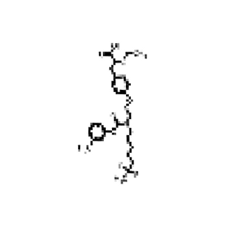 CCOC(Cc1ccc(OCCN(CCCCCC(C)(F)F)C(=O)Oc2cccc(C)c2)cc1)C(=O)O